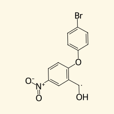 O=[N+]([O-])c1ccc(Oc2ccc(Br)cc2)c([CH]O)c1